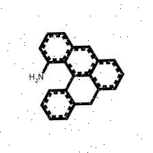 Nc1cccc2cc3cccc4c3c(c12)-c1ccccc1C4